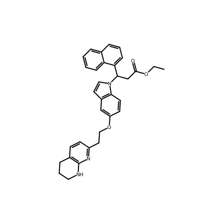 CCOC(=O)CC(c1cccc2ccccc12)n1ccc2cc(OCCc3ccc4c(n3)NCCC4)ccc21